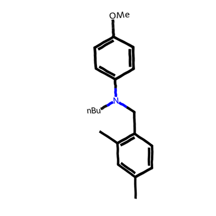 CCCCN(Cc1ccc(C)cc1C)c1ccc(OC)cc1